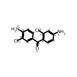 Nc1ccc(C(=O)c2ccc(N)c(Cl)c2)c(Cl)c1